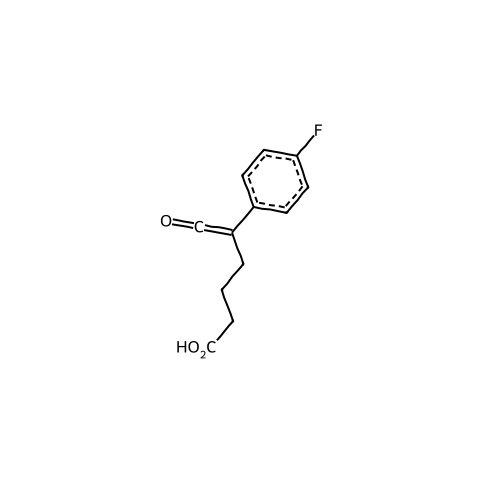 O=C=C(CCCC(=O)O)c1ccc(F)cc1